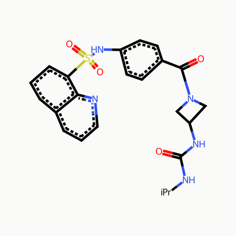 CC(C)NC(=O)NC1CN(C(=O)c2ccc(NS(=O)(=O)c3cccc4cccnc34)cc2)C1